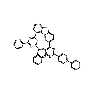 c1ccc(-c2ccc(-c3nc(-c4ccccc4)nc(-c4ccc5sc6cccc(-c7nc(-c8ccccc8)nc(-c8ccccc8)n7)c6c5c4)n3)cc2)cc1